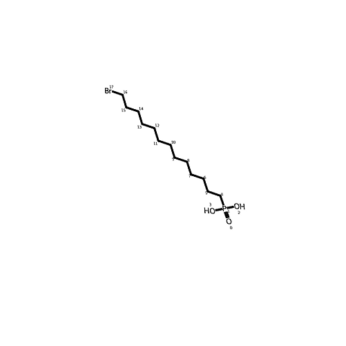 O=P(O)(O)CCCCCCCCCCCCCBr